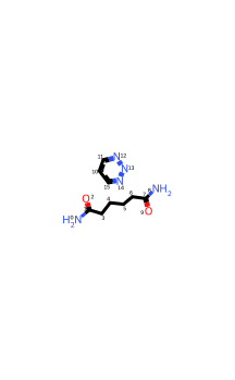 NC(=O)CCCCC(N)=O.c1cnnnc1